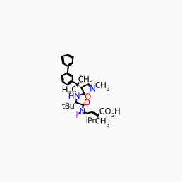 C/N=C/[C@H](C(=O)N[C@H](C(=O)N(I)[C@H](/C=C(\C)C(=O)O)C(C)C)C(C)(C)C)C(C)(C)c1cccc(-c2ccccc2)c1